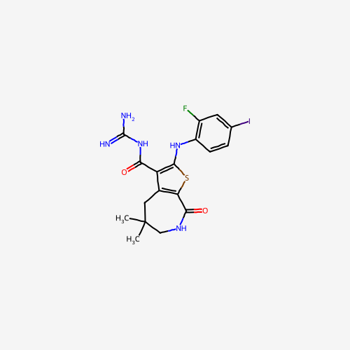 CC1(C)CNC(=O)c2sc(Nc3ccc(I)cc3F)c(C(=O)NC(=N)N)c2C1